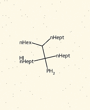 CCCCCCCC(CCCCCC)C(P)(CCCCCCC)CCCCCCC.I